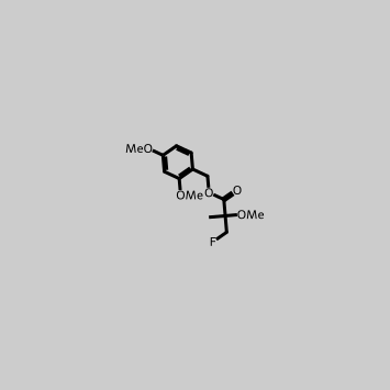 COc1ccc(COC(=O)C(C)(CF)OC)c(OC)c1